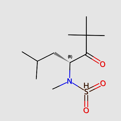 CC(C)C[C@H](C(=O)C(C)(C)C)N(C)[SH](=O)=O